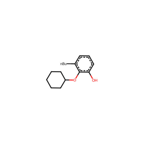 CCCCc1cccc(O)c1OC1CCCCC1